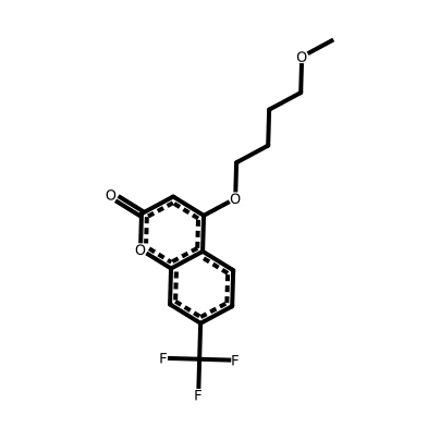 COCCCCOc1cc(=O)oc2cc(C(F)(F)F)ccc12